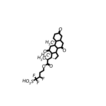 C[C@H](C(=O)OCCC(F)C(F)(F)S(=O)(=O)O)[C@H]1CCC2C3C(=O)CC4CC(=O)CC[C@]4(C)C3CC(=O)[C@@]21C